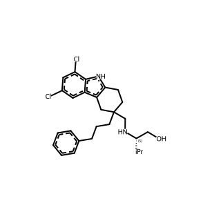 CC(C)[C@@H](CO)NCC1(CCCc2ccccc2)CCc2[nH]c3c(Cl)cc(Cl)cc3c2C1